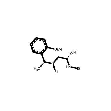 CCN[C@@H](C)CN(CC)[C@@H](C)c1ccccc1OC